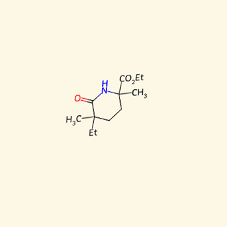 CCOC(=O)C1(C)CCC(C)(CC)C(=O)N1